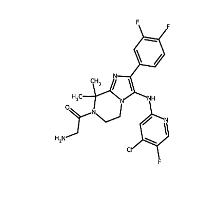 CC1(C)c2nc(-c3ccc(F)c(F)c3)c(Nc3cc(Cl)c(F)cn3)n2CCN1C(=O)CN